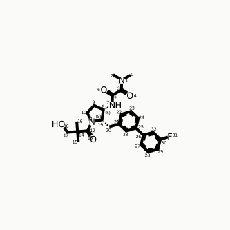 CN(C)C(=O)C(=O)N[C@H]1CCN(C(=O)C(C)(C)CO)[C@H]1Cc1cccc(-c2cccc(F)c2)c1